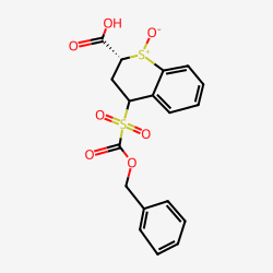 O=C(O)[C@H]1CC(S(=O)(=O)C(=O)OCc2ccccc2)c2ccccc2[S+]1[O-]